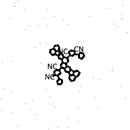 N#Cc1cc(C#N)c(-c2cc3c4cc5c(cc4c(-c4cc(-c6ccccc6)c(C#N)cc4C#N)cc3c3cc4c(cc23)-c2cccc3cccc-4c23)-c2cccc3cccc-5c23)cc1-c1ccccc1